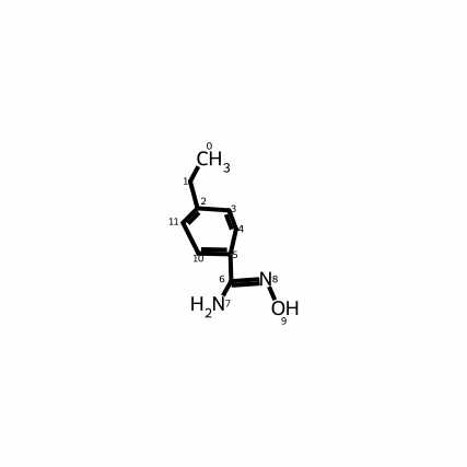 CCc1ccc(/C(N)=N/O)cc1